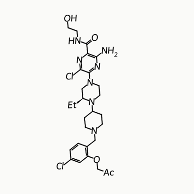 CC[C@H]1CN(c2nc(N)c(C(=O)NCCO)nc2Cl)CCN1C1CCN(Cc2ccc(Cl)cc2OCC(C)=O)CC1